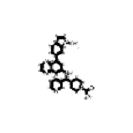 CC(C)C(=O)N1CCC(C(Nc2cc(-c3ccc4ccn(C)c4c3)c3nccnc3c2)c2cccnc2)CC1